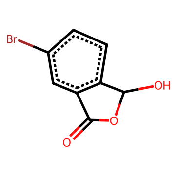 O=C1OC(O)c2ccc(Br)cc21